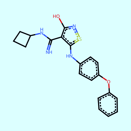 N=C(NC1CCC1)c1c(O)nsc1Nc1ccc(Oc2ccccc2)cc1